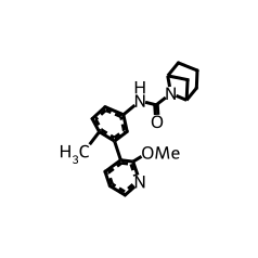 COc1ncccc1-c1cc(NC(=O)N2C3CCCC2C3)ccc1C